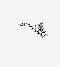 CCCCCCCCCCCCCCCCc1cc2ccccc2[o+]c1C.[Cl][Zn-]([Cl])[Cl]